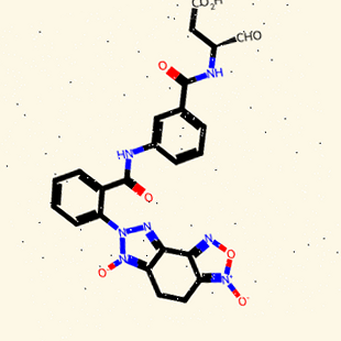 O=C[C@H](CC(=O)O)NC(=O)c1cccc(NC(=O)c2ccccc2-n2nc3c([n+]2[O-])CCc2c-3no[n+]2[O-])c1